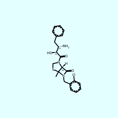 CC12SCN(C(=O)[C@@H](O)[C@@H](N)Cc3ccccc3)[C@@H]1C(=O)N2Cc1ccccc1Cl